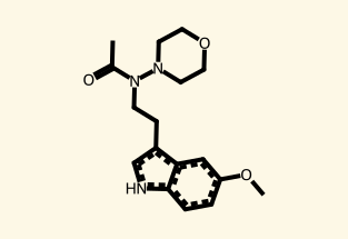 COc1ccc2[nH]cc(CCN(C(C)=O)N3CCOCC3)c2c1